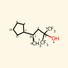 C[C@H](CC(O)(C(F)(F)F)C(F)(F)F)C1CCCC1